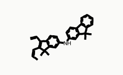 C=CC1=C(/C=C\C)C(C)(C)c2cc(Nc3ccc4c(c3)C(C)(C)c3ccccc3-4)ccc21